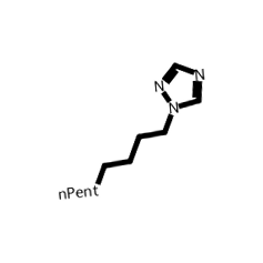 CCCCCCCCCn1cncn1